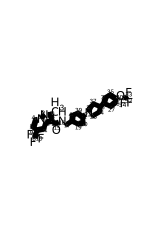 Cc1nn2ccc(C(F)(F)F)cc2c1C(=O)NCc1ccc(N2CCC(c3ccc(OC(F)(F)F)cc3)CC2)cc1